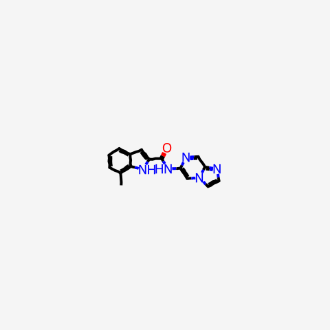 Cc1cccc2cc(C(=O)Nc3cn4ccnc4cn3)[nH]c12